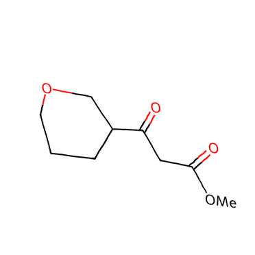 COC(=O)CC(=O)C1CCCOC1